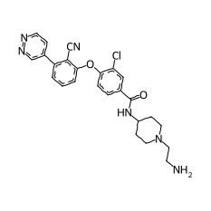 N#Cc1c(Oc2ccc(C(=O)NC3CCN(CCN)CC3)cc2Cl)cccc1-c1ccnnc1